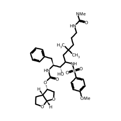 CNC(=O)NCCCC(C)(C)CC(NS(=O)(=O)c1ccc(OC)cc1)[C@H](O)[C@H](Cc1ccccc1)NC(=O)O[C@@H]1CO[C@@H]2OCC[C@@H]21